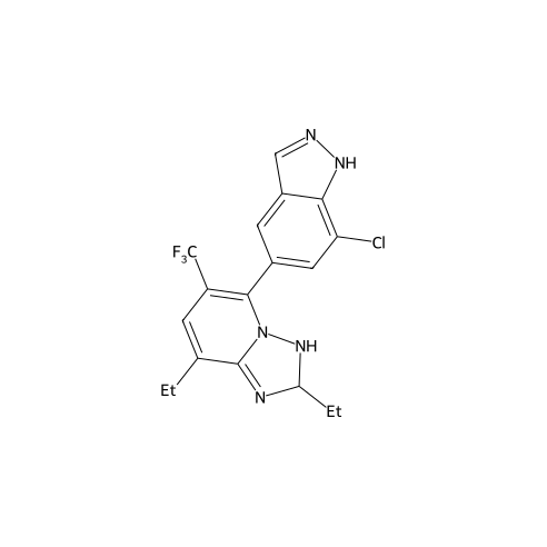 CCC1=CC(C(F)(F)F)=C(c2cc(Cl)c3[nH]ncc3c2)N2NC(CC)N=C12